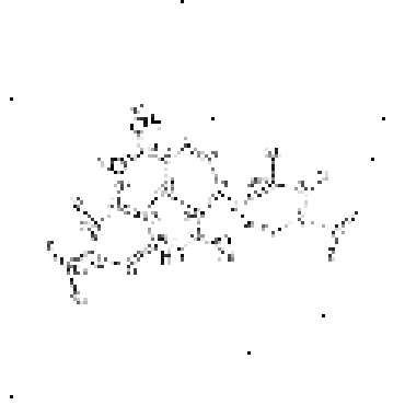 C=C(C)c1ccc(-c2ccc(C(=O)O)c(-c3ccc(C(=C)C)c(C)c3C)c2C(=O)O)c(C)c1C